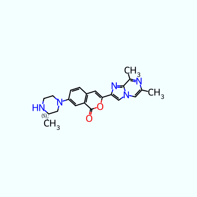 Cc1cn2cc(-c3cc4ccc(N5CCN[C@@H](C)C5)cc4c(=O)o3)nc2c(C)n1